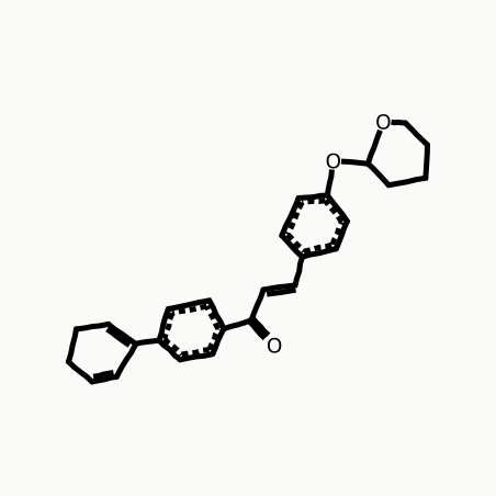 O=C(/C=C/c1ccc(OC2CCCCO2)cc1)c1ccc(C2=CCCC=C2)cc1